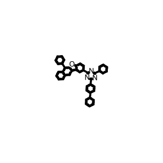 c1ccc(-c2ccc(-c3nc(-c4ccccc4)nc(-c4ccc5oc6c(-c7ccccc7)c7ccccc7cc6c5c4)n3)cc2)cc1